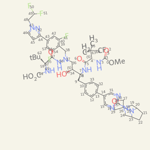 COC(=O)N[C@H](C(=O)N[C@@H](Cc1ccc(-c2cnc(N3CC4CCC(C3)N4C3COC3)nc2)cc1)[C@@H](O)CN(Cc1c(F)cc(-c2ccn(CC(F)F)n2)cc1F)NC(=O)[C@@H](NC(=O)O)C(C)(C)C)C(C)(C)C(F)(F)F